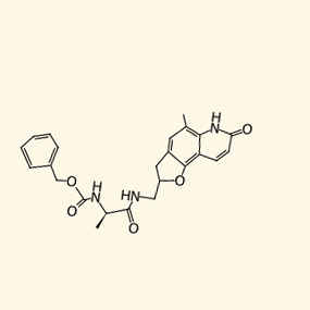 Cc1cc2c(c3ccc(=O)[nH]c13)OC(CNC(=O)[C@@H](C)NC(=O)OCc1ccccc1)C2